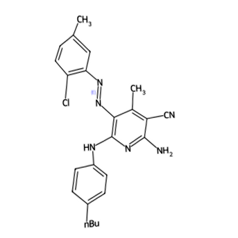 CCCCc1ccc(Nc2nc(N)c(C#N)c(C)c2/N=N/c2cc(C)ccc2Cl)cc1